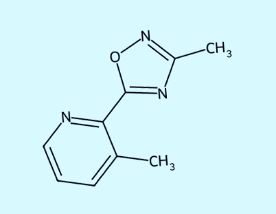 Cc1noc(-c2ncccc2C)n1